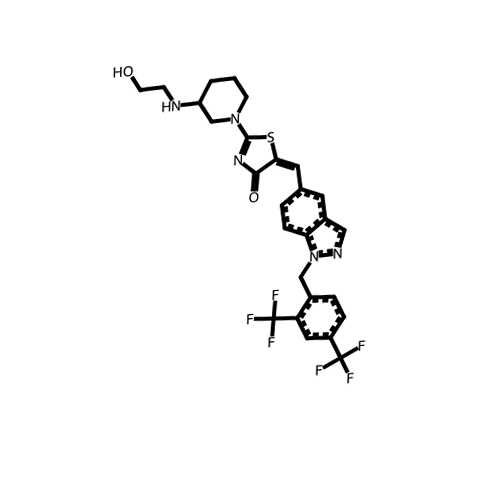 O=C1N=C(N2CCCC(NCCO)C2)S/C1=C/c1ccc2c(cnn2Cc2ccc(C(F)(F)F)cc2C(F)(F)F)c1